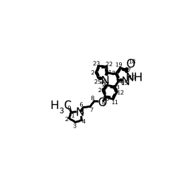 CC1CCCN1CCCOc1ccc(-c2n[nH]c(=O)cc2-c2ccccn2)cc1